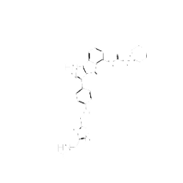 CCCNCc1noc(COc2ccc(-c3n[nH]c4c3C(=O)c3c(NC(=O)NN5CCOCC5)cccc3-4)cc2)n1